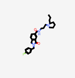 CCCC1CCCCN1CCCNC(=O)c1ccc2c(c1)C(=O)N(Cc1ccc(F)cc1)C2